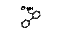 C[CH]NCc1ccccc1-c1ccccc1